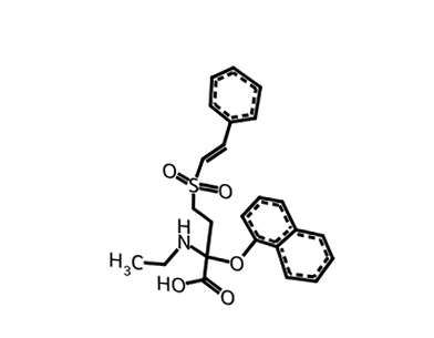 CCNC(CCS(=O)(=O)C=Cc1ccccc1)(Oc1cccc2ccccc12)C(=O)O